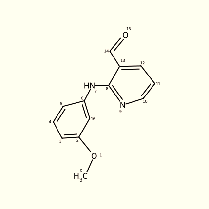 COc1cccc(Nc2ncccc2C=O)c1